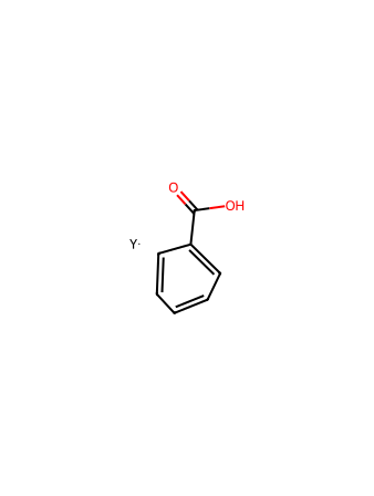 O=C(O)c1ccccc1.[Y]